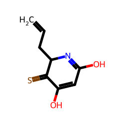 C=CCC1N=C(O)C=C(O)C1=S